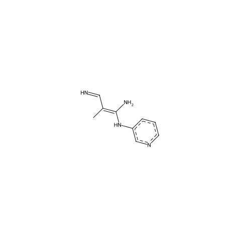 C/C(C=N)=C(/N)Nc1cccnc1